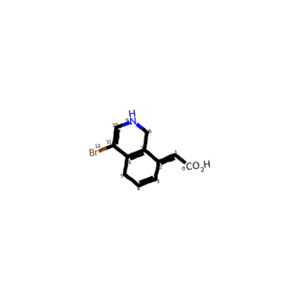 O=C(O)C=C1C=CCC2=C1CNC=C2Br